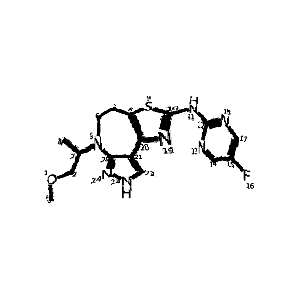 COCC(C)N1CCc2sc(Nc3ncc(F)cn3)nc2-c2c[nH]nc21